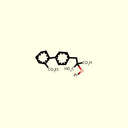 CCOC(=O)c1ccccc1-c1ccc(CC(OC(C)C)(C(=O)O)C(=O)O)cc1